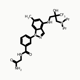 Cc1cc(NCC(O)(CN(C(C)C)C(C)C)C(F)(F)F)c2cnn(-c3cccc(C(=O)NCC(N)=O)c3)c2c1